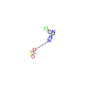 CC1=C(OCCCCCCCCCN2CCN(c3ccnc4cc(Cl)ccc34)CC2)C(C)SC1=O